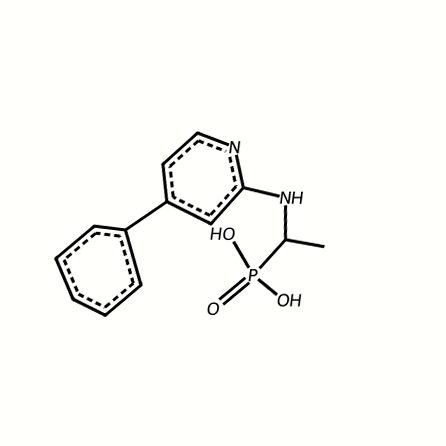 CC(Nc1cc(-c2ccccc2)ccn1)P(=O)(O)O